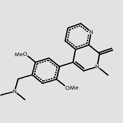 C=C1c2ncccc2C(c2cc(OC)c(CN(C)C)cc2OC)=CN1C